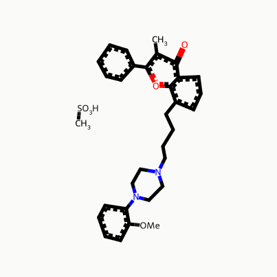 COc1ccccc1N1CCN(CCCCc2cccc3c(=O)c(C)c(-c4ccccc4)oc23)CC1.CS(=O)(=O)O